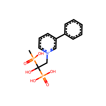 CP(=O)(O)C(O)(C[n+]1cccc(-c2ccccc2)c1)P(=O)(O)O